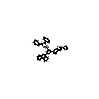 c1ccc(-c2cnc3cc(-c4cc(-c5nc(-c6ccccc6)nc(-c6ccccc6)n5)cc(-c5cc6ccccc6c6ccccc56)c4)ccc3c2)cc1